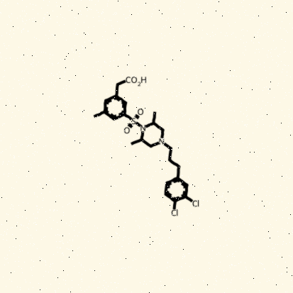 Cc1cc(CC(=O)O)cc(S(=O)(=O)N2C(C)CN(CCCc3ccc(Cl)c(Cl)c3)CC2C)c1